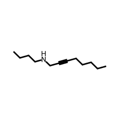 CCCCCC#CCNCCCC